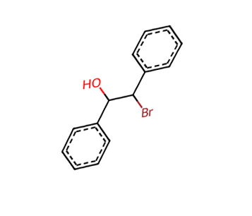 OC(c1ccccc1)C(Br)c1ccccc1